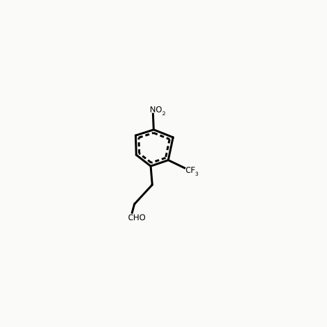 O=CCCc1ccc([N+](=O)[O-])cc1C(F)(F)F